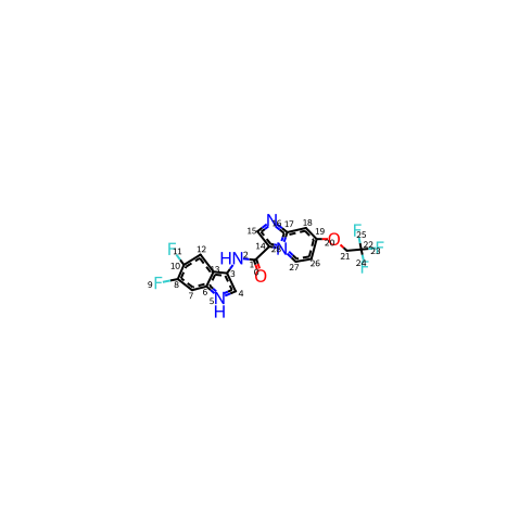 O=C(Nc1c[nH]c2cc(F)c(F)cc12)c1cnc2cc(OCC(F)(F)F)ccn12